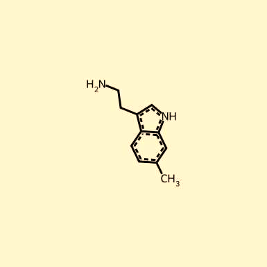 Cc1ccc2c(CCN)c[nH]c2c1